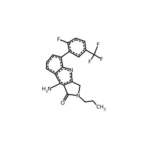 CCCN1Cc2nc3c(-c4cc(C(F)(F)F)ccc4F)cccc3c(N)c2C1=O